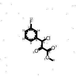 COC(=O)C(=O)C(Cl)c1cccc(F)c1